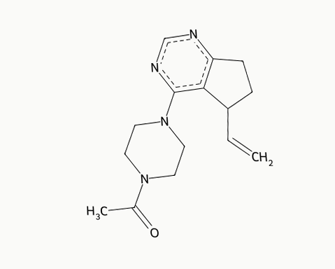 C=CC1CCc2ncnc(N3CCN(C(C)=O)CC3)c21